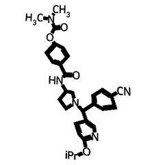 CC(C)Oc1ccc(C(c2ccc(C#N)cc2)N2CCC(NC(=O)c3ccc(OC(=O)N(C)C)cc3)C2)cn1